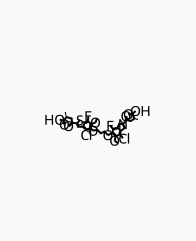 COc1c(Cl)c2c(c(F)c1OCCCOc1c(OC)c(F)c3sc(C(=O)C[C@H](C)C(=O)O)cc3c1Cl)CN(C(=O)C[C@H](C)C(=O)O)C2